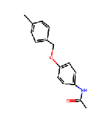 CC(=O)Nc1ccc(OCc2ccc(C)cc2)cc1